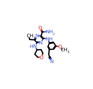 CCc1nc(C(N)=O)c(Nc2cc(CC#N)cc(OC)c2)nc1NC1CCOCC1